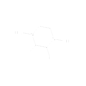 CCC1C(CC)N(C)CCN1C